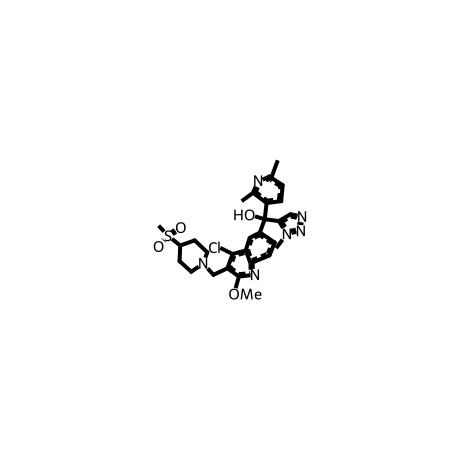 COc1nc2ccc(C(O)(c3ccc(C)nc3C)c3cnnn3C)cc2c(Cl)c1CN1CCC(S(C)(=O)=O)CC1